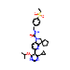 CCS(=O)(=O)c1ccc(CNC(=O)N2CC3(CCCC3)c3nc(-c4c(OC(C)C)ncnc4C4CC4)ccc32)cc1